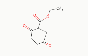 CCOC(=O)C1CC(=O)CCC1=O